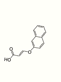 O=C(O)/C=C/Oc1ccc2ccccc2c1